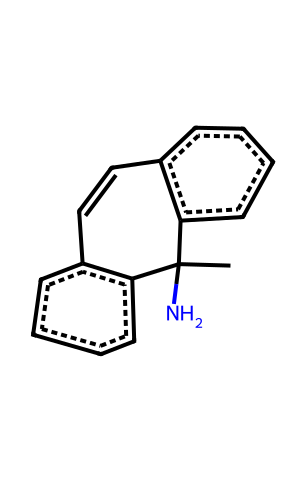 CC1(N)c2ccccc2C=Cc2ccccc21